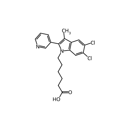 Cc1c(-c2cccnc2)n(CCCCCC(=O)O)c2cc(Cl)c(Cl)cc12